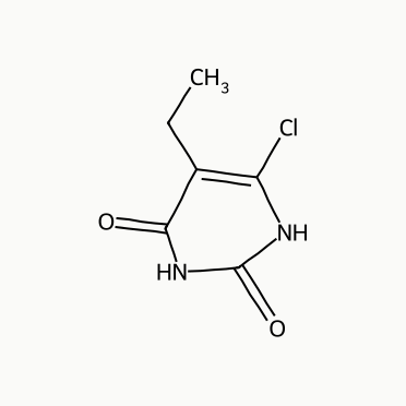 CCc1c(Cl)[nH]c(=O)[nH]c1=O